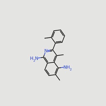 Cc1ccccc1-c1nc(N)c2ccc(C)c(N)c2c1C